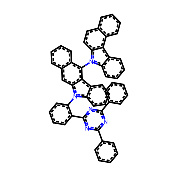 c1ccc(-c2nc(-c3ccccc3)nc(-c3ccccc3-n3c4ccccc4c4c(-n5c6ccccc6c6c7ccccc7ccc65)c5ccccc5cc43)n2)cc1